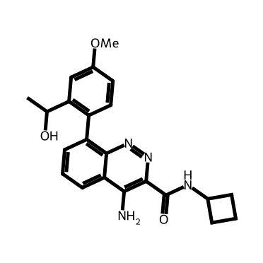 COc1ccc(-c2cccc3c(N)c(C(=O)NC4CCC4)nnc23)c(C(C)O)c1